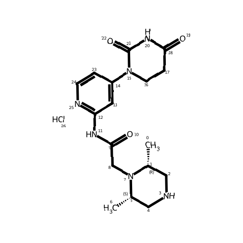 C[C@@H]1CNC[C@H](C)N1CC(=O)Nc1cc(N2CCC(=O)NC2=O)ccn1.Cl